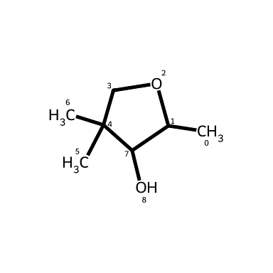 CC1OCC(C)(C)C1O